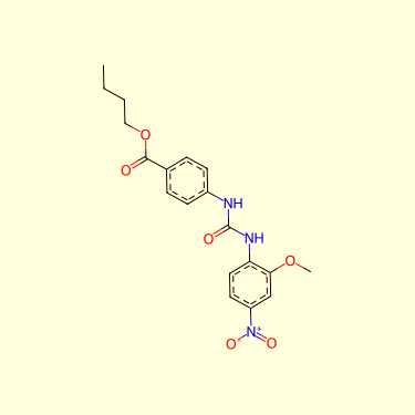 CCCCOC(=O)c1ccc(NC(=O)Nc2ccc([N+](=O)[O-])cc2OC)cc1